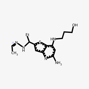 C/C=N\NC(CC)c1cc2nc(N)cc(NCCCO)c2s1